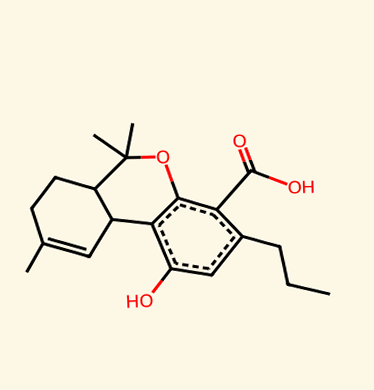 CCCc1cc(O)c2c(c1C(=O)O)OC(C)(C)C1CCC(C)=CC21